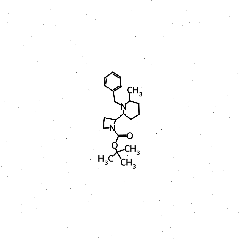 CC1CCCC(C2CCN2C(=O)OC(C)(C)C)N1Cc1ccccc1